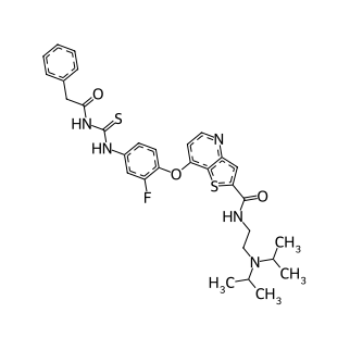 CC(C)N(CCNC(=O)c1cc2nccc(Oc3ccc(NC(=S)NC(=O)Cc4ccccc4)cc3F)c2s1)C(C)C